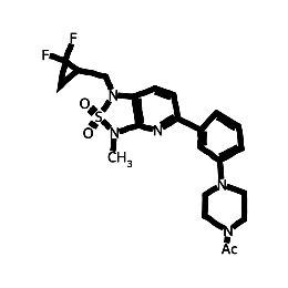 CC(=O)N1CCN(c2cccc(-c3ccc4c(n3)N(C)S(=O)(=O)N4CC3CC3(F)F)c2)CC1